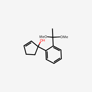 COC(C)(OC)c1ccccc1C1(O)C=CCC1